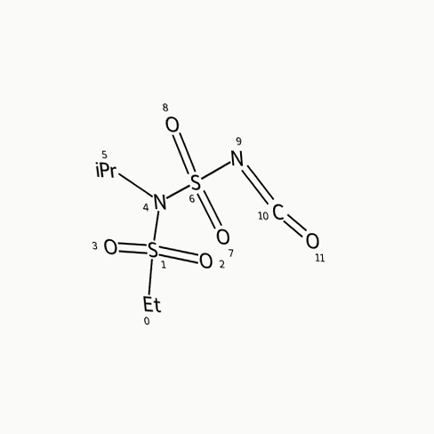 CCS(=O)(=O)N(C(C)C)S(=O)(=O)N=C=O